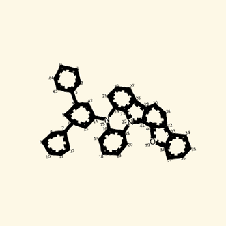 c1ccc(-c2cc(-c3ccccc3)cc(N3c4ccccc4-n4c5c3cccc5c3ccc5c6ccccc6oc5c34)c2)cc1